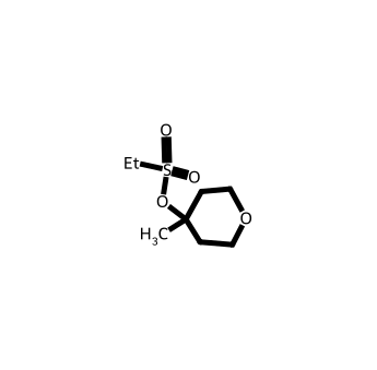 CCS(=O)(=O)OC1(C)CCOCC1